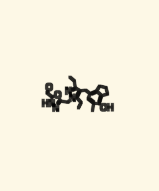 CCc1nn(CC2=NNC(C=O)O2)c(CC)c1Cc1cc(C)c(O)c2c1CCC2